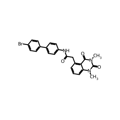 Cn1c(=O)c2c(CC(=O)Nc3ccc(-c4ccc(Br)cc4)cc3)cccc2n(C)c1=O